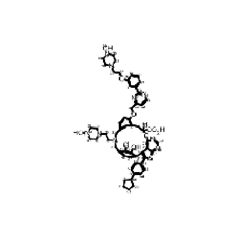 O=C(O)[C@H]1Cc2cc(ccc2OCc2ccnc(-c3cccc(OCCN4CCN(O)CC4)c3)n2)CN(CCN2CCN(O)CC2)Cc2ccc(c(O)c2Cl)-c2c(-c3ccc(C4CCCC4)cc3)sc3ncnc(c23)O1